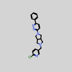 Clc1ccc(CN2CC3CN(c4ccc(-c5ccccc5)nn4)CC3C2)cn1